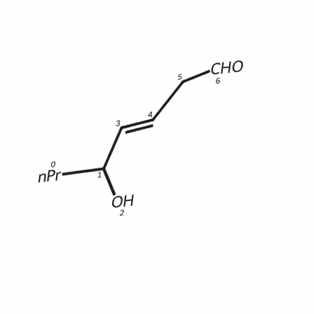 CCCC(O)/C=C/CC=O